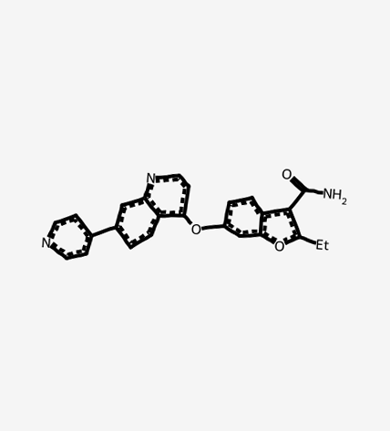 CCc1oc2cc(Oc3ccnc4cc(-c5ccncc5)ccc34)ccc2c1C(N)=O